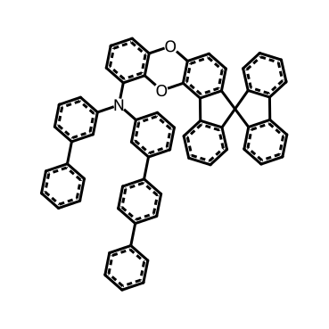 c1ccc(-c2ccc(-c3cccc(N(c4cccc(-c5ccccc5)c4)c4cccc5c4Oc4c(ccc6c4-c4ccccc4C64c6ccccc6-c6ccccc64)O5)c3)cc2)cc1